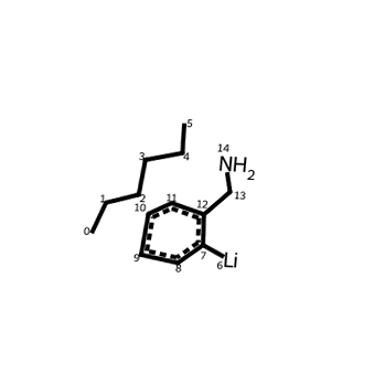 CCCCCC.[Li][c]1ccccc1CN